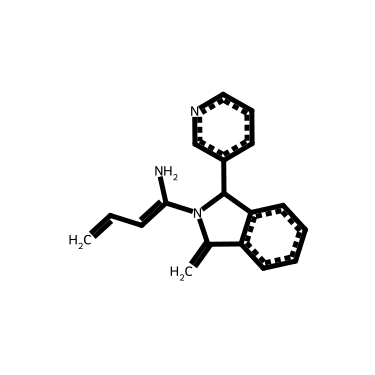 C=C/C=C(\N)N1C(=C)c2ccccc2C1c1cccnc1